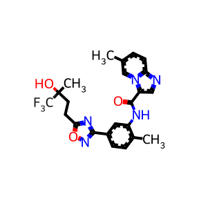 Cc1ccc2ncc(C(=O)Nc3cc(-c4noc(CCC(C)(O)C(F)(F)F)n4)ccc3C)n2c1